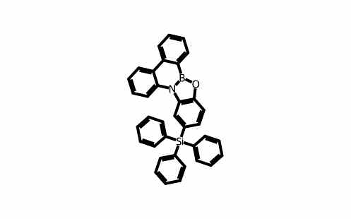 c1ccc([Si](c2ccccc2)(c2ccccc2)c2ccc3c(c2)N2B(O3)c3ccccc3-c3ccccc32)cc1